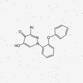 CC(=O)c1nn(-c2ccccc2Oc2ccccc2)cc(O)c1=O